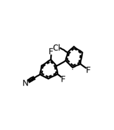 N#Cc1cc(F)c(-c2[c]c(F)ccc2Cl)c(F)c1